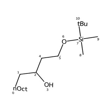 CCCCCCCCCC(O)C[CH]O[Si](C)(C)C(C)(C)C